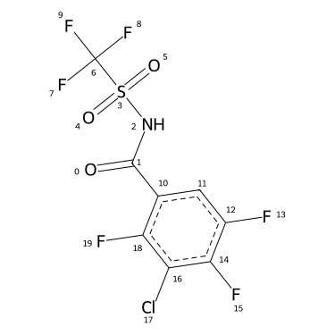 O=C(NS(=O)(=O)C(F)(F)F)c1cc(F)c(F)c(Cl)c1F